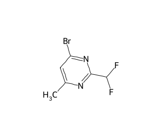 Cc1cc(Br)nc(C(F)F)n1